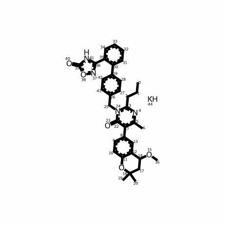 CCCc1nc(C)c(-c2ccc3c(c2)C(OC)CC(C)(C)O3)c(=O)n1Cc1ccc(-c2ccccc2-c2noc(=O)[nH]2)cc1.[KH]